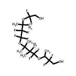 CC(OC(F)(F)C(C)(C)C(C)(C)OC(F)(F)C(F)(F)C(C)(C)OC(F)(F)CO)C(F)(F)CO